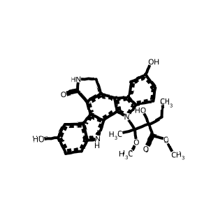 CCC(O)(C(=O)OC)C(C)(OC)n1c2ccc(O)cc2c2c3c(c4c5cc(O)ccc5[nH]c4c21)C(=O)NC3